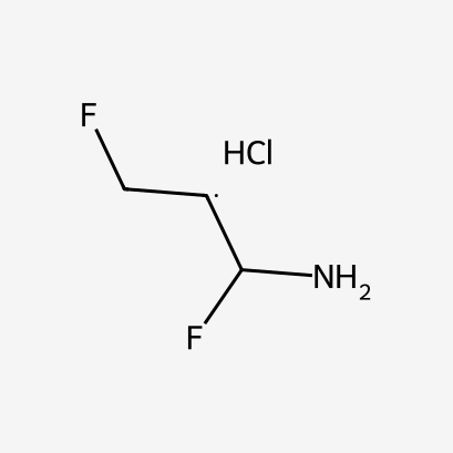 Cl.NC(F)[CH]CF